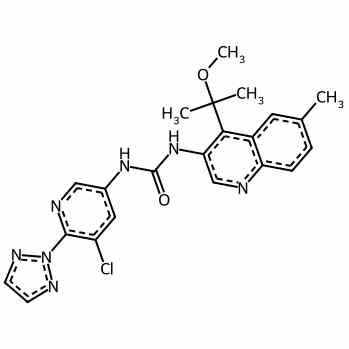 COC(C)(C)c1c(NC(=O)Nc2cnc(-n3nccn3)c(Cl)c2)cnc2ccc(C)cc12